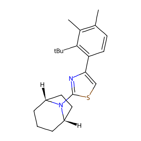 Cc1ccc(-c2csc(N3[C@@H]4CCC[C@H]3CC4)n2)c(C(C)(C)C)c1C